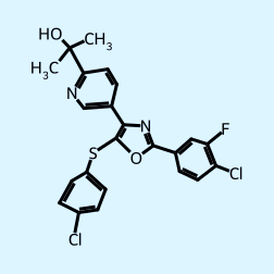 CC(C)(O)c1ccc(-c2nc(-c3ccc(Cl)c(F)c3)oc2Sc2ccc(Cl)cc2)cn1